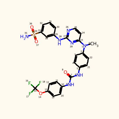 CN(c1ccc(NC(=O)Nc2ccc(OC(F)(F)F)cc2)cc1)c1ccnc(Nc2cccc(S(N)(=O)=O)c2)n1